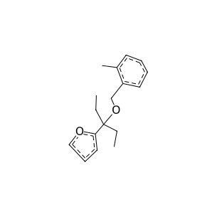 CCC(CC)(OCc1ccccc1C)c1ccco1